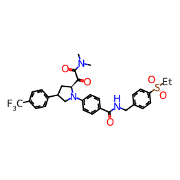 CCS(=O)(=O)c1ccc(CNC(=O)c2ccc(N3CC(c4ccc(C(F)(F)F)cc4)C[C@H]3C(=O)C(=O)N(C)C)cc2)cc1